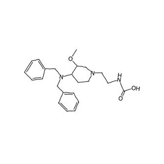 COC1CN(CCNC(=O)O)CCC1N(Cc1ccccc1)Cc1ccccc1